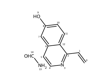 C=Cc1nccc2cc(O)ccc12.NC=O